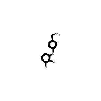 NCc1ccc(Oc2cccc(Cl)c2Cl)cc1